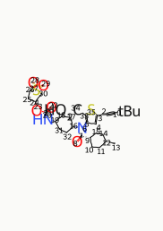 CC(C)(C)C#Cc1cc(N(C(=O)[C@H]2CC[C@H](C)CC2)C2CCC(NC(=O)OC3CCS(=O)(=O)C3)CC2)c(C(=O)O)s1